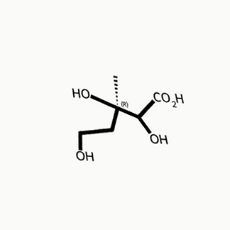 C[C@@](O)(CCO)C(O)C(=O)O